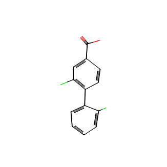 O=C(O)c1ccc(-c2ccccc2Cl)c(Cl)c1